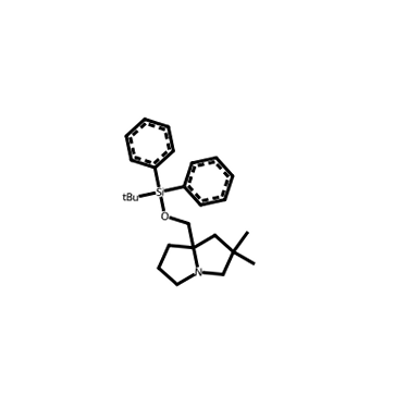 CC1(C)CN2CCCC2(CO[Si](c2ccccc2)(c2ccccc2)C(C)(C)C)C1